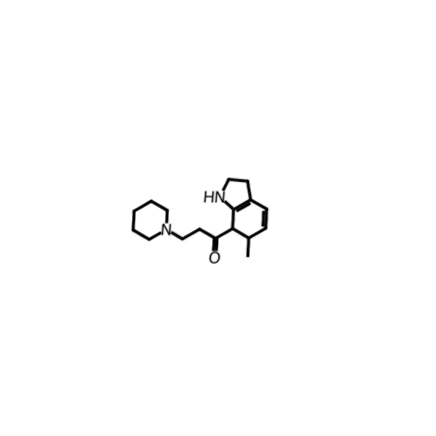 CC1C=CC2=C(NCC2)C1C(=O)CCN1CCCCC1